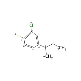 [CH2]C(CC)c1ccc(F)c(Cl)c1